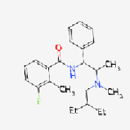 CCC(CC)CN(C)C(C)C(NC(=O)c1cccc(F)c1C)c1ccccc1